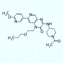 CCCOCCn1c(=O)c(NC2CCN(C(C)=O)CC2)nc2cnc(-c3ccc(OC)nc3)cc21